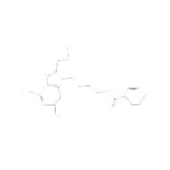 CCOCc1nc2c(N)nc(C)cc2n1CCCCNC(=O)c1ccccc1